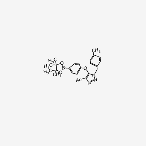 CC(=O)c1nnn(Cc2ccc(C)cc2)c1Oc1ccc(B2OC(C)(C)C(C)(C)O2)cc1